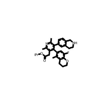 Cc1nc(C)c(-c2ccc3c(c2)CCNC3)c(-c2cc(F)c3c(c2C)CCCO3)c1CC(=O)OC(C)C